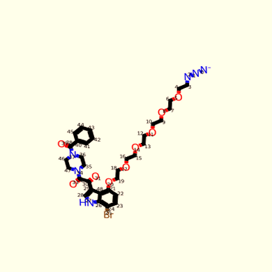 [N-]=[N+]=NCCOCCOCCOCCOCCOCCOc1ccc(Br)c2[nH]cc(C(=O)C(=O)N3CCN(C(=O)c4ccccc4)CC3)c12